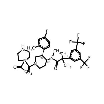 CC(=O)[N+]1(C(=O)N2CC[C@H](N(C)C(=O)C(C)(C)c3cc(C(F)(F)F)cc(C(F)(F)F)c3)[C@@H](c3ccc(F)cc3C)C2)CCNCC1